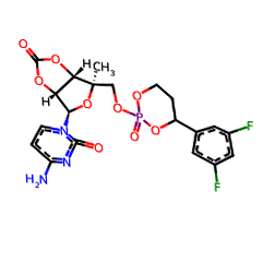 C[C@]1(COP2(=O)OCCC(c3cc(F)cc(F)c3)O2)O[C@@H](n2ccc(N)nc2=O)[C@@H]2OC(=O)O[C@@H]21